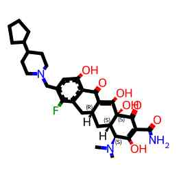 CN(C)[C@@H]1C(O)=C(C(N)=O)C(=O)[C@@]2(O)C(O)=C3C(=O)c4c(O)cc(CN5CCC(C6CCCC6)CC5)c(F)c4C[C@H]3C[C@@H]12